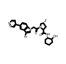 CC(=O)c1cn(CC(=O)N2C[C@H](F)CC2C(=O)N[C@H]2CCCCC2O)c2ccc(-c3ccnnc3)cc12